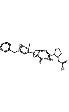 Cc1nn(Cc2ccccc2)cc1-c1cc2nc(C3CCCN3CC(=O)O)[nH]c(=O)c2s1